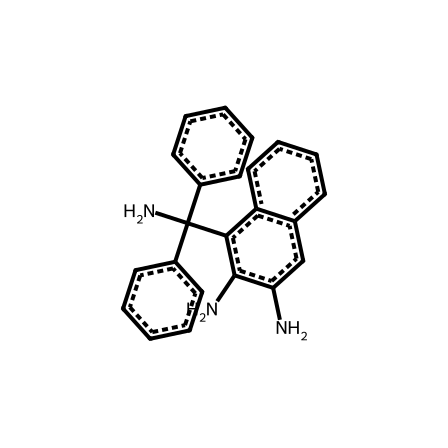 Nc1cc2ccccc2c(C(N)(c2ccccc2)c2ccccc2)c1N